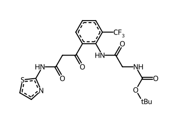 CC(C)(C)OC(=O)NCC(=O)Nc1c(C(=O)CC(=O)Nc2nccs2)cccc1C(F)(F)F